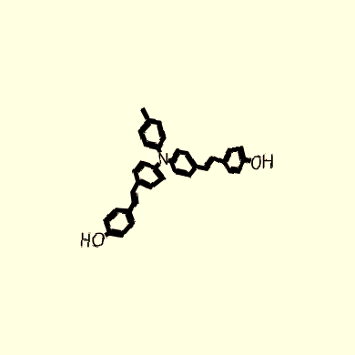 Cc1ccc(N(c2ccc(/C=C/c3ccc(O)cc3)cc2)c2ccc(/C=C/c3ccc(O)cc3)cc2)cc1